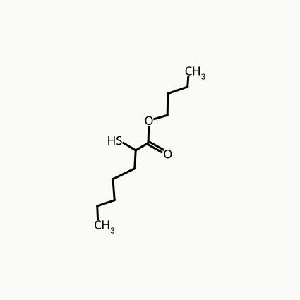 CCCCCC(S)C(=O)OCCCC